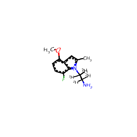 [2H]C([2H])(N)C([2H])([2H])n1c(C)cc2c(OC)ccc(F)c21